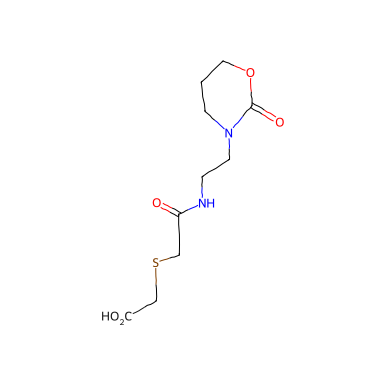 O=C(O)CSCC(=O)NCCN1CCCOC1=O